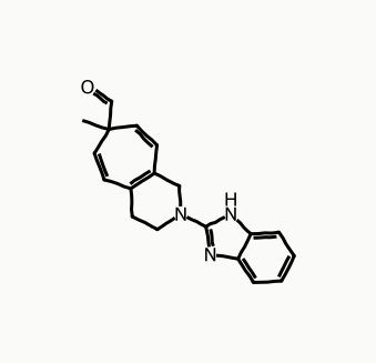 CC1(C=O)C=CC2=C(C=C1)CN(c1nc3ccccc3[nH]1)CC2